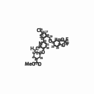 COC(=O)[C@H]1CCC[C@H](Oc2ccc(-c3sc(Cl)cc3COc3ccc4c(c3)OC(F)(F)O4)nc2C)C1